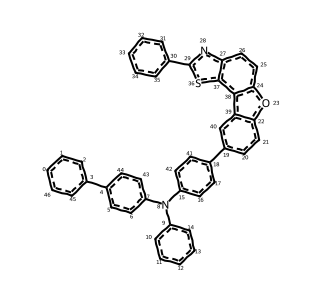 c1ccc(-c2ccc(N(c3ccccc3)c3ccc(-c4ccc5oc6ccc7nc(-c8ccccc8)sc7c6c5c4)cc3)cc2)cc1